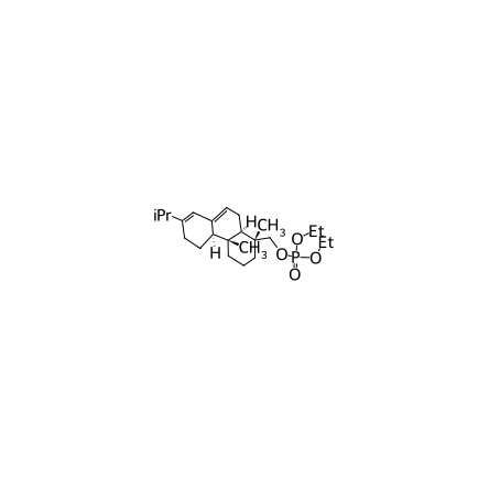 CCOP(=O)(OCC)OC[C@]1(C)CCC[C@]2(C)[C@H]3CCC(C(C)C)=CC3=CC[C@@H]12